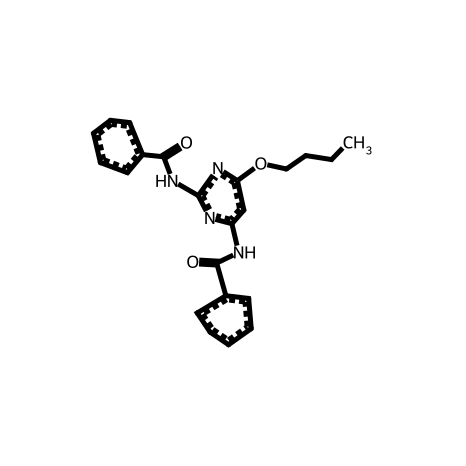 CCCCOc1cc(NC(=O)c2ccccc2)nc(NC(=O)c2ccccc2)n1